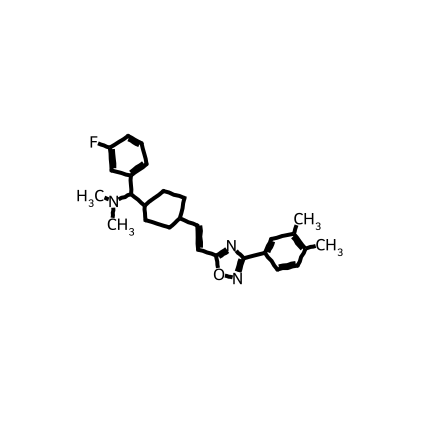 Cc1ccc(-c2noc(C=CC3CCC(C(c4cccc(F)c4)N(C)C)CC3)n2)cc1C